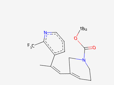 CC(=CC1=CCCN(C(=O)OC(C)(C)C)C1)c1cccnc1C(F)(F)F